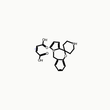 O=C(O)/C=C\C(=O)O.c1ccc2c(c1)Cn1cccc1C1(CCNCC1)O2